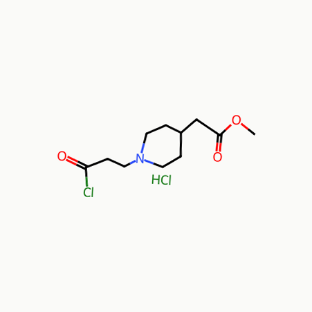 COC(=O)CC1CCN(CCC(=O)Cl)CC1.Cl